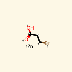 O=C(O)CCBr.[Zn]